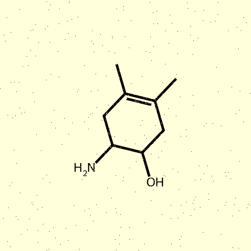 CC1=C(C)CC(O)C(N)C1